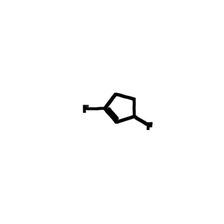 FC1=CC(F)CC1